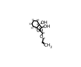 C=CCOCCC(O)[C@]1(O)CCCC[C@H]1O